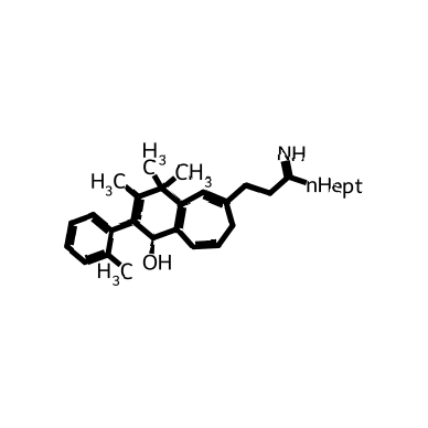 CCCCCCCC(=N)CCC1=CC2=C(C=CC1)[C@@H](O)C(c1ccccc1C)=C(C)C2(C)C